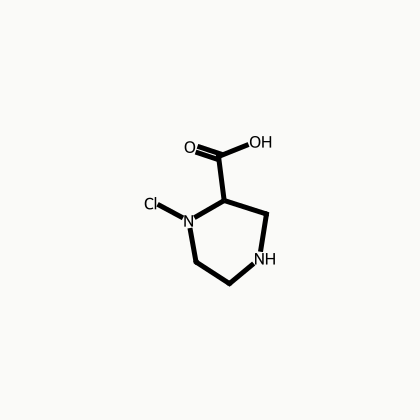 O=C(O)C1CNCCN1Cl